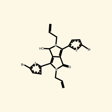 C=CCN1C(=O)C2=C(c3ccc(Br)s3)N(CC=C)C(O)C2=C1c1ccc(Br)s1